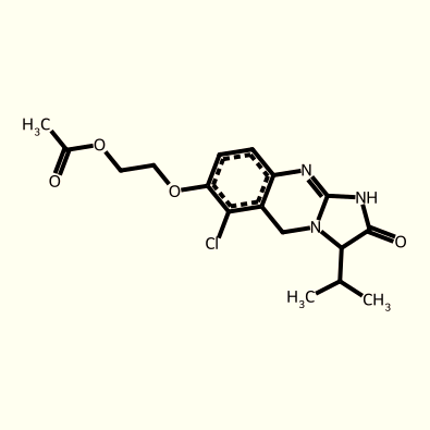 CC(=O)OCCOc1ccc2c(c1Cl)CN1C(=N2)NC(=O)C1C(C)C